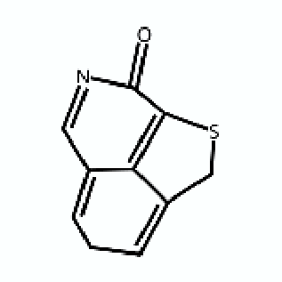 O=C1N=CC2=CCC=C3CSC1=C23